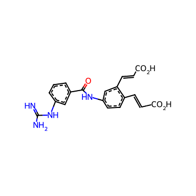 N=C(N)Nc1cccc(C(=O)Nc2ccc(/C=C/C(=O)O)c(/C=C/C(=O)O)c2)c1